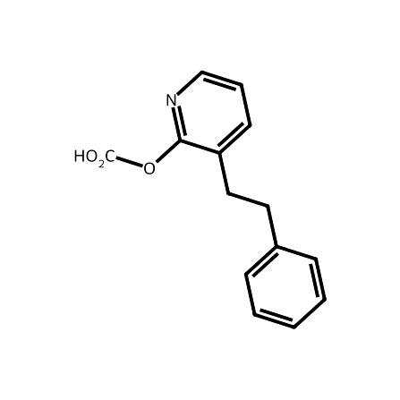 O=C(O)Oc1ncccc1CCc1ccccc1